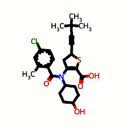 Cc1cc(Cl)ccc1C(=O)N(C1=C(C(=O)O)SC(C#CC(C)(C)C)C1)C1CCC(O)CC1